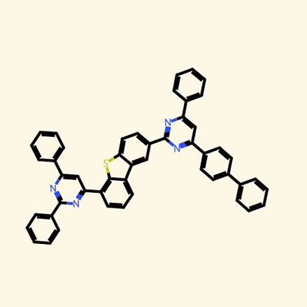 c1ccc(-c2ccc(-c3cc(-c4ccccc4)nc(-c4ccc5sc6c(-c7cc(-c8ccccc8)nc(-c8ccccc8)n7)cccc6c5c4)n3)cc2)cc1